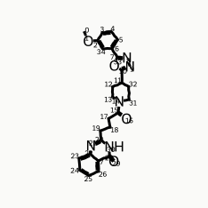 COc1cccc(-c2nnc(C3CCN(C(=O)CCCc4nc5ccccc5c(=O)[nH]4)CC3)o2)c1